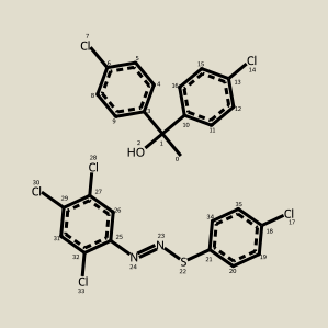 CC(O)(c1ccc(Cl)cc1)c1ccc(Cl)cc1.Clc1ccc(SN=Nc2cc(Cl)c(Cl)cc2Cl)cc1